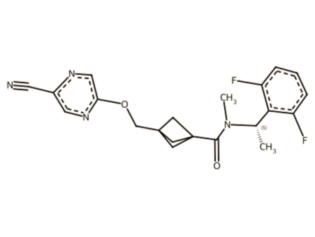 C[C@@H](c1c(F)cccc1F)N(C)C(=O)C12CC(COc3cnc(C#N)cn3)(C1)C2